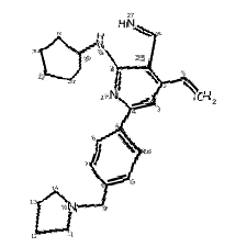 C=Cc1cc(-c2ccc(CN3CCCC3)cc2)nc(NC2CCCC2)c1C=N